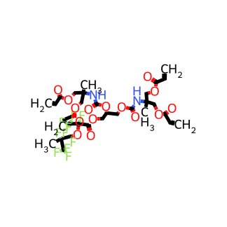 C=CC(=O)OCC(C)(COC(=O)C=C)NC(=O)OCC(COC(=O)C(F)(OC(F)(F)C(C)(F)C(F)(F)F)C(F)(F)F)OC(=O)NC(C)(COC(=O)C=C)COC(=O)C=C